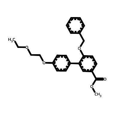 CCOCCOc1ccc(-c2cc(C(=O)OC)ccc2OCc2ccccc2)cc1